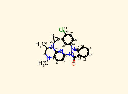 CC1CN(C)c2ccc(-n3c(=O)c4ccccc4n3-c3ccc(Cl)cc3)nc2N1C1CC1